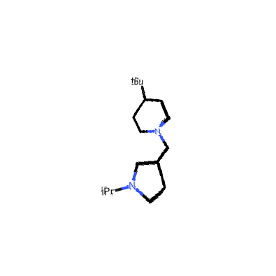 CC(C)N1CCC(CN2CCC(C(C)(C)C)CC2)C1